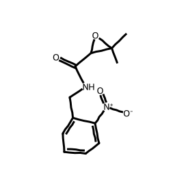 CC1(C)OC1C(=O)NCc1ccccc1[N+](=O)[O-]